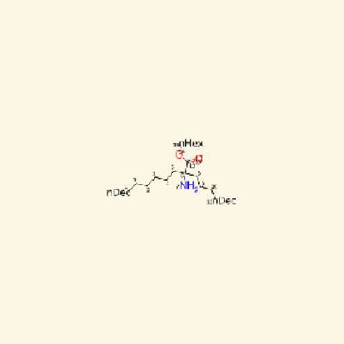 CCCCCCCCCCCCCCCC(N)(CCCCCCCCCCCCC)C(=O)OCCCCCC